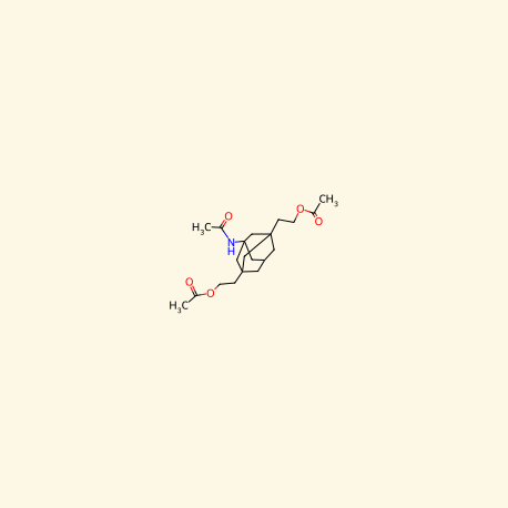 CC(=O)NC12CC3CC(CCOC(C)=O)(CC(CCOC(C)=O)(C3)C1)C2